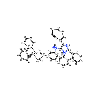 C1#CC(c2nc3c4ccccc4c4ccccc4n3c2Nc2cccc(C3=CC4C(=c5ccccc5=C5C=CC=CC54)C=C3)c2)=CC=CC1